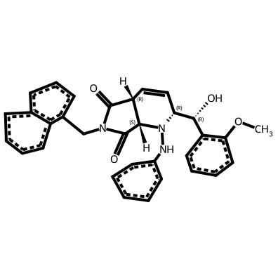 COc1ccccc1[C@@H](O)[C@H]1C=C[C@H]2C(=O)N(Cc3cccc4ccccc34)C(=O)[C@H]2N1Nc1ccccc1